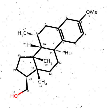 COC1=CCC2=C(C1)C[C@@H](C)[C@@H]1[C@@H]2CC[C@]2(C)[C@@H](CO)CC[C@]12C